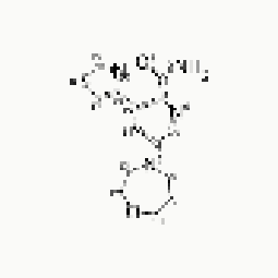 NC(=O)c1ncc(N2CCCOCC2)cc1-c1cscn1